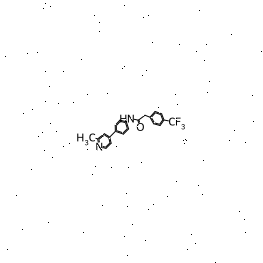 Cc1cc(-c2ccc(NC(=O)Cc3ccc(C(F)(F)F)cc3)cc2)ccn1